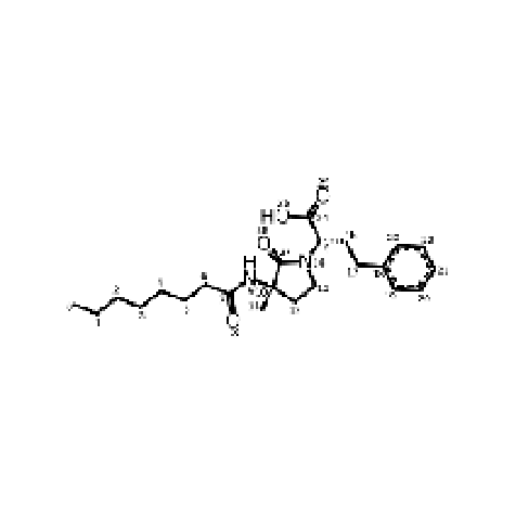 CCCCCCCC(=O)N[C@@]1(C)CCN([C@@H](CCc2ccccc2)C(=O)O)C1=O